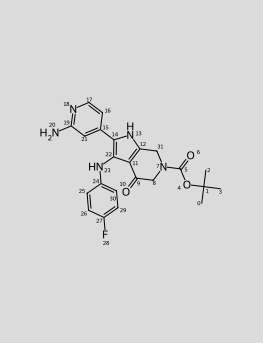 CC(C)(C)OC(=O)N1CC(=O)c2c([nH]c(-c3ccnc(N)c3)c2Nc2ccc(F)cc2)C1